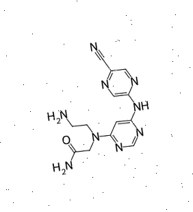 N#Cc1cnc(Nc2cc(N(CCN)CC(N)=O)ncn2)cn1